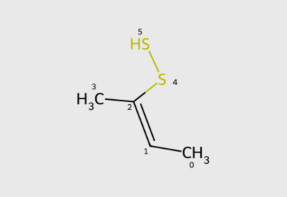 CC=C(C)SS